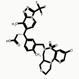 Cc1ccc([C@H](CC(=O)O)c2ccn3c(C(F)(F)F)nnc3c2C)cc1CN1CC2COCCN2c2ncc(Cl)cc2S1(=O)=O